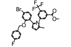 COC(=O)c1cc(-n2c(C)ccc2-c2ccc(Br)cc2OCc2ccc(F)cc2)cc(C(F)(F)F)c1